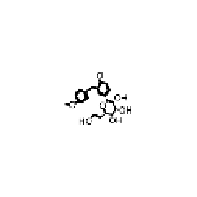 COc1ccc(Cc2cc([C@@H]3O[C@H](CCO)[C@@H](O)[C@H](O)[C@H]3O)ccc2Cl)cc1